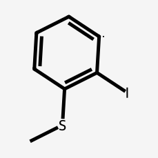 CSc1ccc[c]c1I